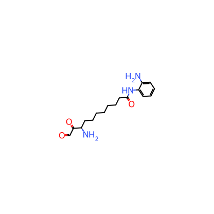 Nc1ccccc1NC(=O)CCCCCCC[C@@H](N)C(=O)C=O